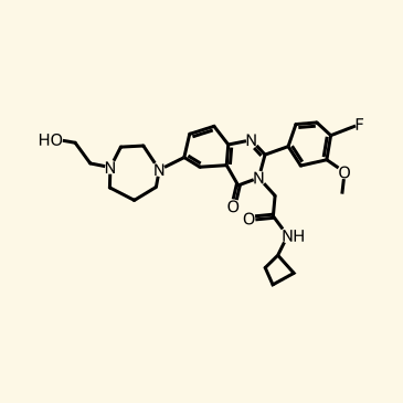 COc1cc(-c2nc3ccc(N4CCCN(CCO)CC4)cc3c(=O)n2CC(=O)NC2CCC2)ccc1F